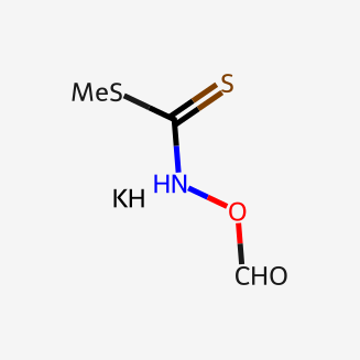 CSC(=S)NOC=O.[KH]